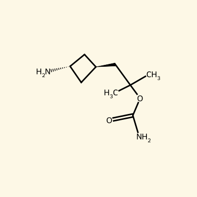 CC(C)(C[C@H]1C[C@H](N)C1)OC(N)=O